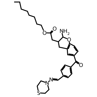 CCCCCCCCOC(=O)CC1Cc2cc(C(=O)c3ccc(C=NN4CCSCC4)cc3)ccc2OC1N